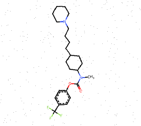 CN(C(=O)Oc1ccc(C(F)(F)F)cc1)C1CCC(CCCCN2CCCCC2)CC1